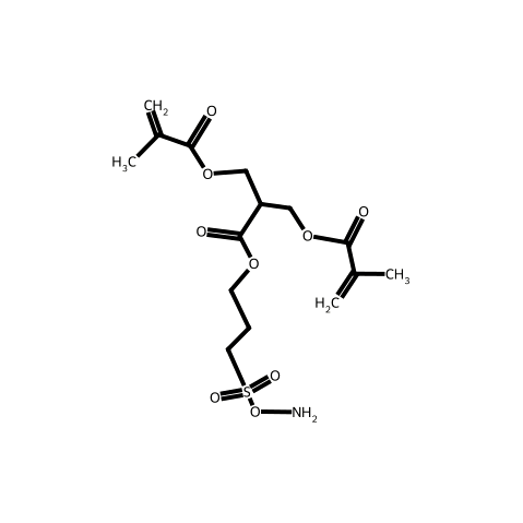 C=C(C)C(=O)OCC(COC(=O)C(=C)C)C(=O)OCCCS(=O)(=O)ON